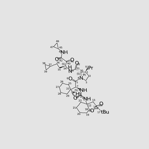 CC(C)[C@H]1CCN(C(=O)[C@@H](NC(=O)NC2(CS(=O)(=O)C(C)(C)C)CCCCC2)C2(C)CCCCC2)[C@@H]1C(=O)N[C@@H](CCC1CC1)C(=O)C(=O)NC1CC1